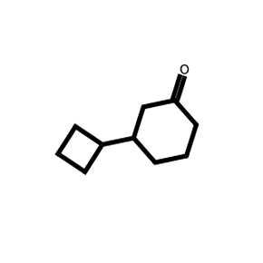 O=C1CCCC(C2CCC2)C1